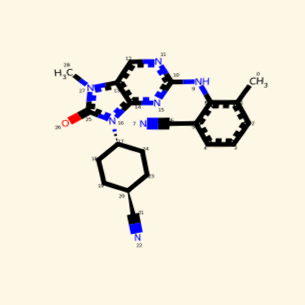 Cc1cccc(C#N)c1Nc1ncc2c(n1)n([C@H]1CC[C@H](C#N)CC1)c(=O)n2C